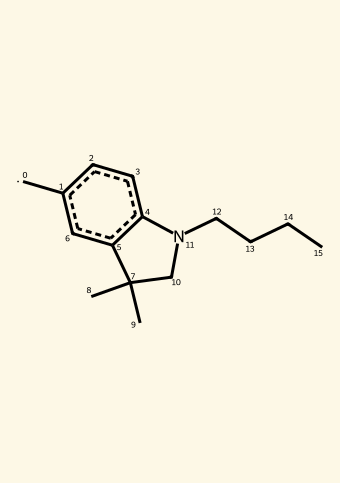 [CH2]c1ccc2c(c1)C(C)(C)CN2CCCC